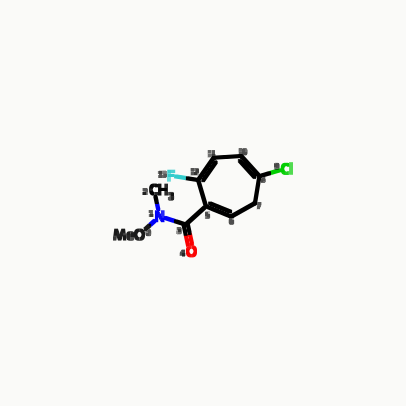 CON(C)C(=O)C1=CCC(Cl)=CC=C1F